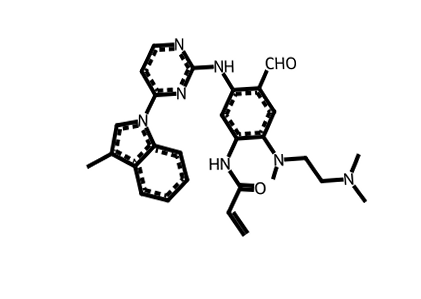 C=CC(=O)Nc1cc(Nc2nccc(-n3cc(C)c4ccccc43)n2)c(C=O)cc1N(C)CCN(C)C